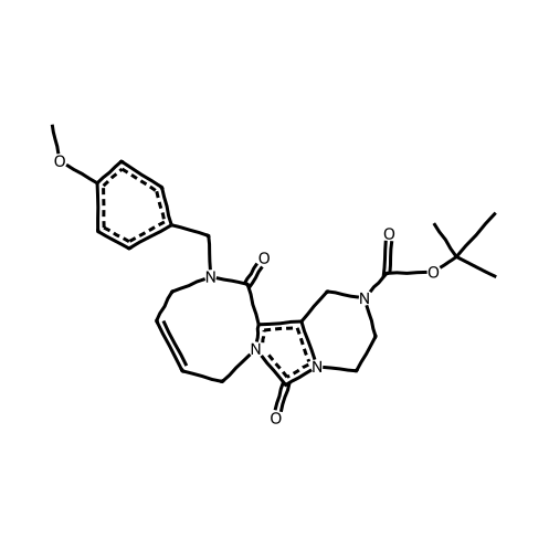 COc1ccc(CN2C/C=C\Cn3c(c4n(c3=O)CCN(C(=O)OC(C)(C)C)C4)C2=O)cc1